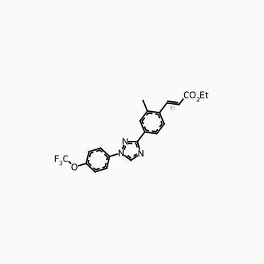 CCOC(=O)/C=C/c1ccc(-c2ncn(-c3ccc(OC(F)(F)F)cc3)n2)cc1C